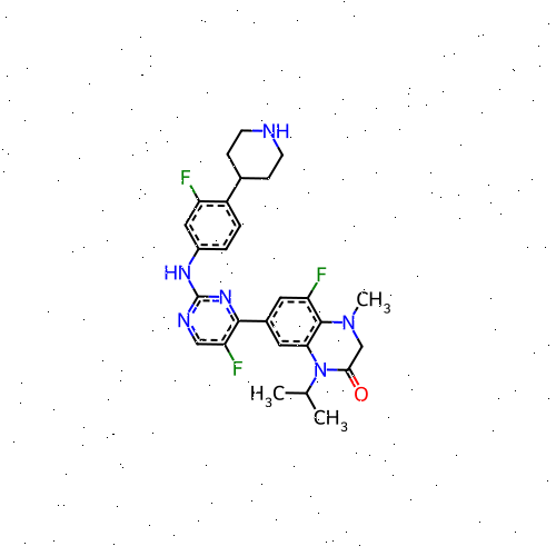 CC(C)N1C(=O)CN(C)c2c(F)cc(-c3nc(Nc4ccc(C5CCNCC5)c(F)c4)ncc3F)cc21